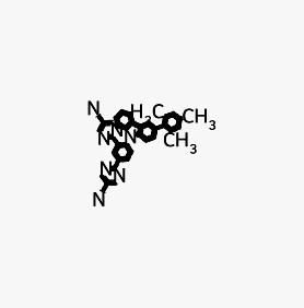 Cc1cc(C)c(-c2ccc3c(c2)c2ccccc2n3-c2ccc(-c3ncc(C#N)cn3)cc2-c2ncc(C#N)cn2)c(C)c1